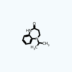 CC(C)N1CCC(=O)Nc2ccccc21